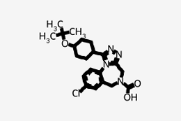 CC(C)(C)OC1CCC(c2nnc3n2-c2ccc(Cl)cc2CN(C(=O)O)C3)CC1